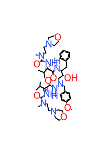 COc1ccc(CN(CC(O)C(Cc2ccccc2)NC(=O)[C@@H](NC(=O)N(C)CCN2CCOCC2)C(C)C)NC(=O)[C@@H](NC(=O)N(C)CCN2CCOCC2)C(C)C)cc1